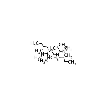 CCCCN(CCN(CCCC)C(N(C)C)=[N+](C)C)C(N(C)C)=[N+](C)C